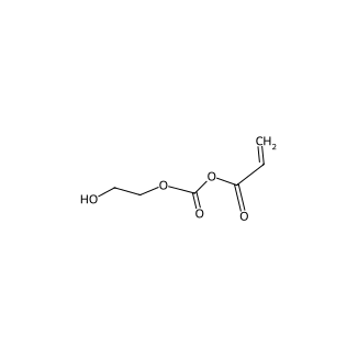 C=CC(=O)OC(=O)OCCO